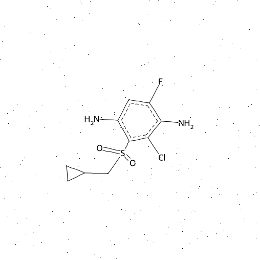 Nc1cc(F)c(N)c(Cl)c1S(=O)(=O)CC1CC1